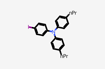 CCCc1ccc(N(c2ccc(I)cc2)c2ccc(CCC)cc2)cc1